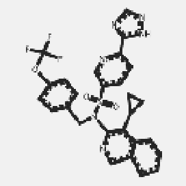 O=S(=O)(c1ccc(-c2ncn[nH]2)nc1)N(Cc1ccc(OC(F)(F)F)cc1)c1ncc2ccccc2c1C1CC1